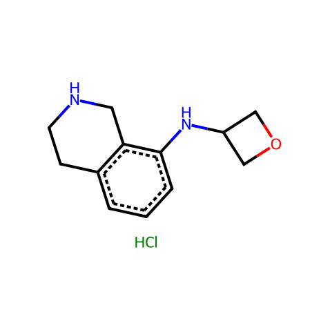 Cl.c1cc2c(c(NC3COC3)c1)CNCC2